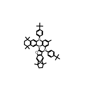 Cc1cc2c3c(c1)N(c1ccc(C(C)(C)C)cc1)c1c(oc4cc5c(cc14)C1(C)CCC5(C)C1)B3c1cc3c(cc1N2c1ccc(C(C)(C)C)cc1)C(C)(C)CCC3(C)C